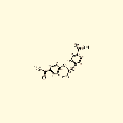 CCC(Oc1ccc(C(=O)O)cc1)Oc1ccc(C(=O)OC)cc1